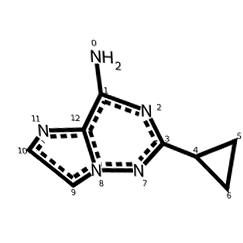 Nc1nc(C2CC2)nn2ccnc12